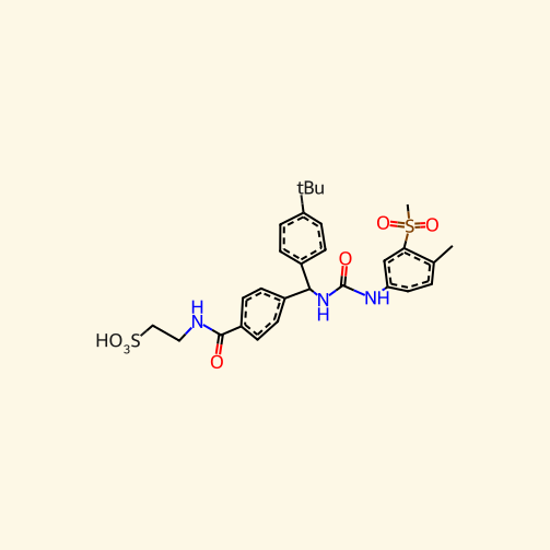 Cc1ccc(NC(=O)NC(c2ccc(C(=O)NCCS(=O)(=O)O)cc2)c2ccc(C(C)(C)C)cc2)cc1S(C)(=O)=O